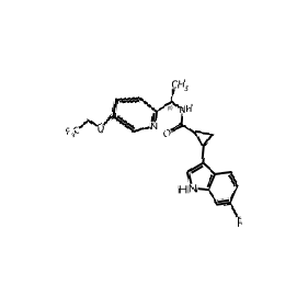 C[C@@H](NC(=O)C1CC1c1c[nH]c2cc(F)ccc12)c1ccc(OCC(F)(F)F)cn1